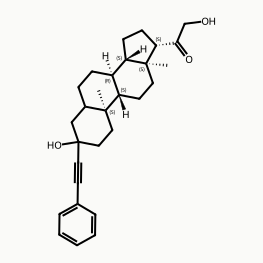 C[C@]12CC[C@H]3[C@@H](CCC4CC(O)(C#Cc5ccccc5)CC[C@@]43C)[C@@H]1CC[C@@H]2C(=O)CO